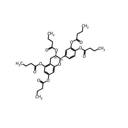 CCCC(=O)Oc1cc(OC(=O)CCC)c2c(c1)O[C@H](c1ccc(OC(=O)CCC)c(OC(=O)CCC)c1)[C@H](OC(=O)CCC)C2